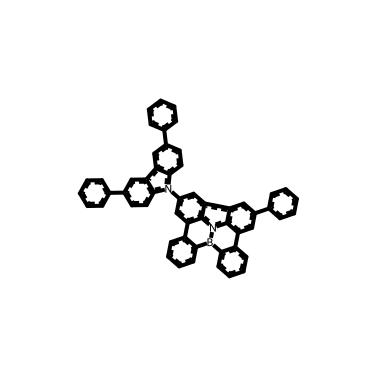 c1ccc(-c2cc3c4c(c2)c2cc(-n5c6ccc(-c7ccccc7)cc6c6cc(-c7ccccc7)ccc65)cc5c2n4B(c2ccccc2-3)c2ccccc2-5)cc1